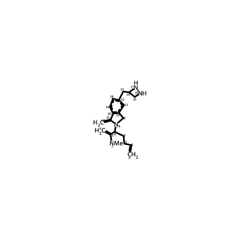 C=CCCC(C(=C)NC)N1Cc2cc(CC3CNN3)ccc2C1=C